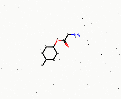 CC1CCC(OC(=O)CN)CC1